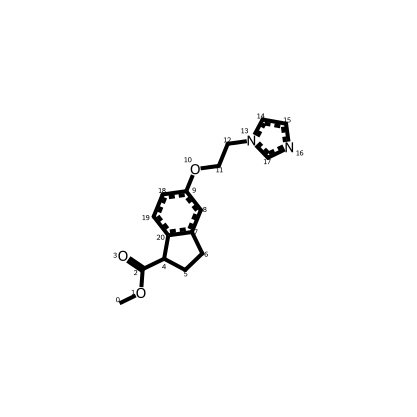 COC(=O)C1CCc2cc(OCCn3ccnc3)ccc21